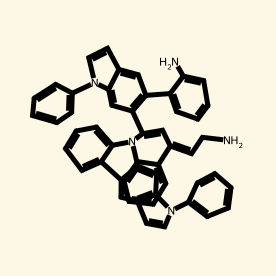 NC/C=C(\C=C(c1cc2c(ccn2-c2ccccc2)cc1-c1ccccc1N)n1c2ccccc2c2cc3ccn(-c4ccccc4)c3cc21)c1ccccc1